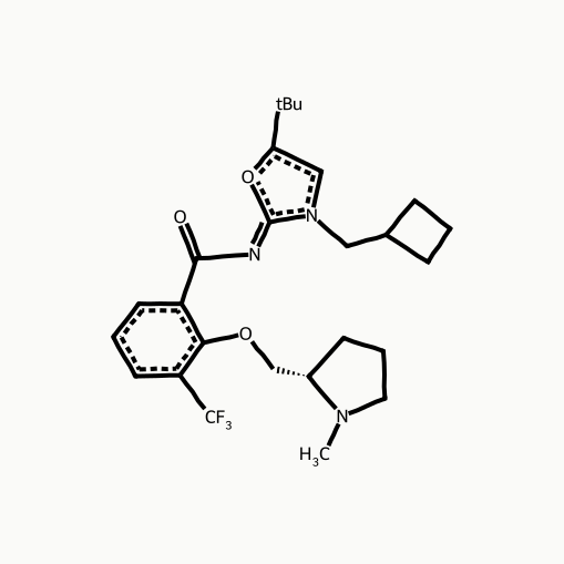 CN1CCC[C@H]1COc1c(C(=O)/N=c2\oc(C(C)(C)C)cn2CC2CCC2)cccc1C(F)(F)F